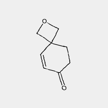 O=C1C=CC2(CC1)COC2